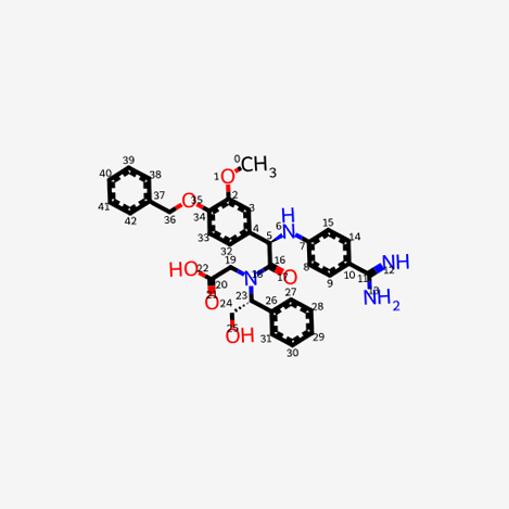 COc1cc([C@@H](Nc2ccc(C(=N)N)cc2)C(=O)N(CC(=O)O)[C@@H](CO)c2ccccc2)ccc1OCc1ccccc1